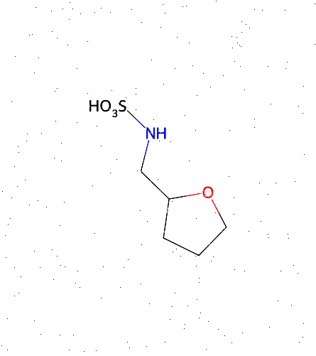 O=S(=O)(O)NCC1CCCO1